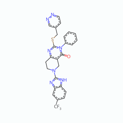 O=c1c2c(nc(SCc3ccnnc3)n1-c1ccccc1)CCN(c1nc3cc(C(F)(F)F)ccc3[nH]1)C2